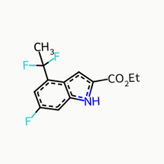 CCOC(=O)c1cc2c(C(C)(F)F)cc(F)cc2[nH]1